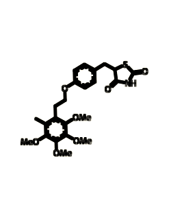 COc1c(C)c(CCOc2ccc(CC3SC(=O)NC3=O)cc2)c(OC)c(OC)c1OC